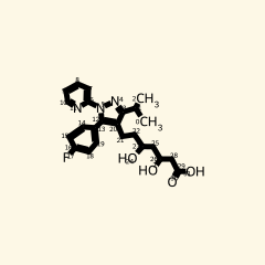 CC(C)c1nn(-c2ccccn2)c(-c2ccc(F)cc2)c1CCC(O)CC(O)CC(=O)O